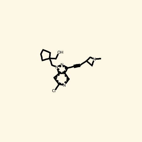 CN1CC(C#Cc2nn(CC3(CO)CCCC3)c3cc(Cl)ncc23)C1